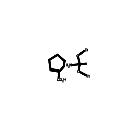 CCOC(C)(N)OCC.O=C(O)C1=CCCCC1